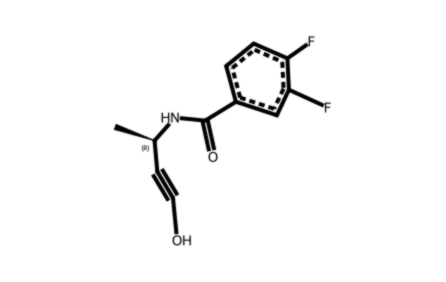 C[C@H](C#CO)NC(=O)c1ccc(F)c(F)c1